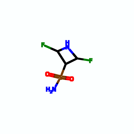 NS(=O)(=O)C1C(F)NC1F